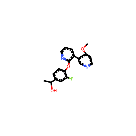 COc1ccncc1-c1cccnc1Oc1ccc(C(C)O)cc1F